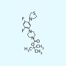 CC(C)(C)OC(=O)N1CCN(c2cc(N3CCSCC3)c(F)cc2F)CC1